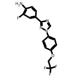 Nc1ccc(-c2ncn(-c3ccc(OCC(F)(F)F)cc3)n2)cc1F